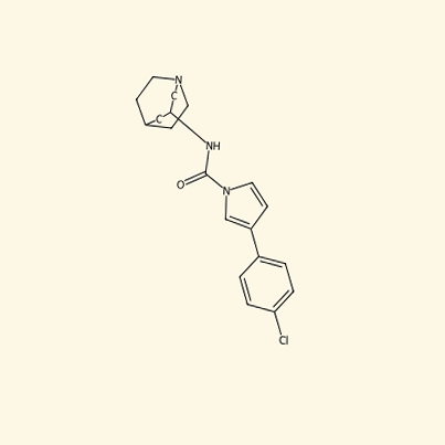 O=C(NC1CC2CCN(CC2)C1)n1ccc(-c2ccc(Cl)cc2)c1